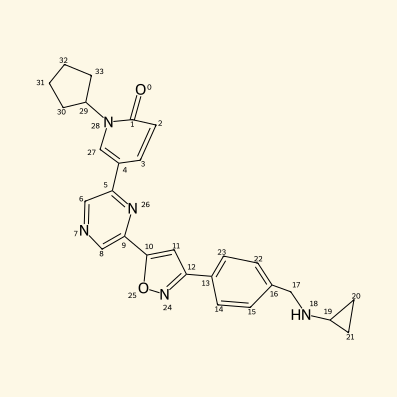 O=c1ccc(-c2cncc(-c3cc(-c4ccc(CNC5CC5)cc4)no3)n2)cn1C1CCCC1